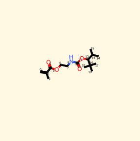 C=C(C)C(=O)OCCNC(=O)OC(C(C)C)C(C)(C)C